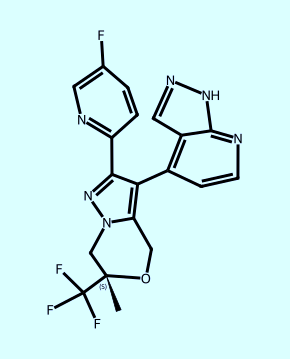 C[C@@]1(C(F)(F)F)Cn2nc(-c3ccc(F)cn3)c(-c3ccnc4[nH]ncc34)c2CO1